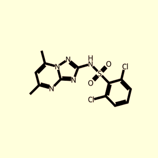 Cc1cc(C)n2nc(NS(=O)(=O)c3c(Cl)cccc3Cl)nc2n1